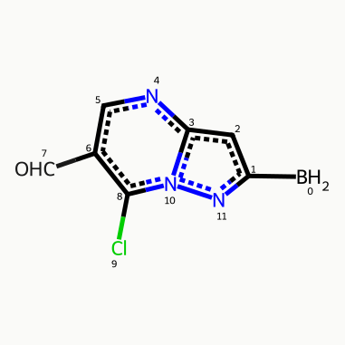 Bc1cc2ncc(C=O)c(Cl)n2n1